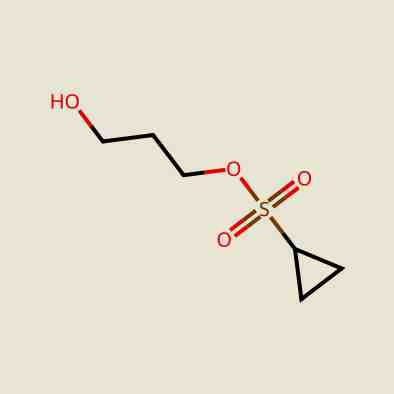 O=S(=O)(OCCCO)C1CC1